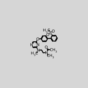 CC(=O)N(C)CCN(C)c1cncc(Oc2ccc(-c3ccccc3S(C)(=O)=O)cc2)n1